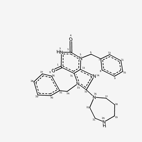 O=c1[nH]c(=O)n(Cc2ccccc2)c2nc(N3CCCNCC3)n(Cc3ccccc3)c12